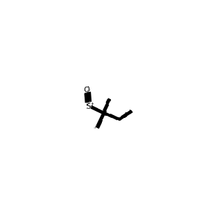 [CH2]C(C)(CC)[S+]=O